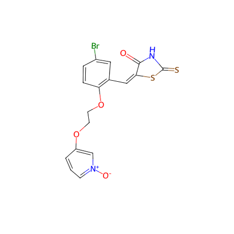 O=C1NC(=S)SC1=Cc1cc(Br)ccc1OCCOc1ccc[n+]([O-])c1